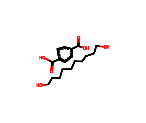 O=C(O)c1ccc(C(=O)O)cc1.OCCCCCCCCCCO